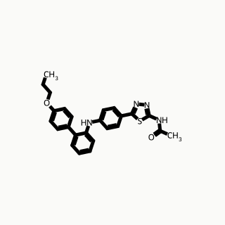 CCCOc1ccc(-c2ccccc2Nc2ccc(-c3nnc(NC(C)=O)s3)cc2)cc1